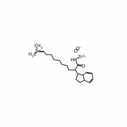 C[Si](C)=CCCCCCCCC(C(=O)[NH][Zr+2])C1CCC2C=CC=CC21.[Cl-].[Cl-]